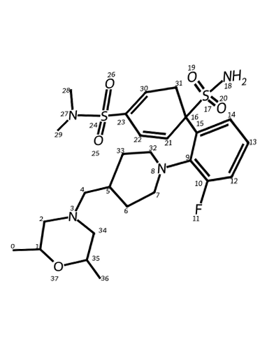 CC1CN(CC2CCN(c3c(F)cccc3C3(S(N)(=O)=O)C=CC(S(=O)(=O)N(C)C)=CC3)CC2)CC(C)O1